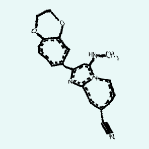 CNc1c(-c2ccc3c(c2)OCCO3)nc2cc(C#N)ccn12